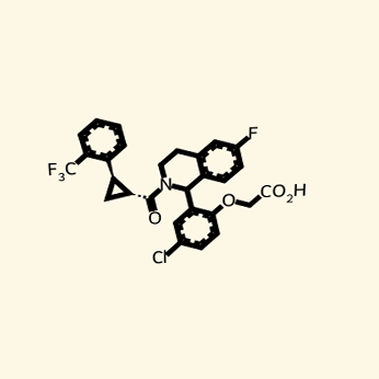 O=C(O)COc1ccc(Cl)cc1C1c2ccc(F)cc2CCN1C(=O)[C@@H]1C[C@H]1c1ccccc1C(F)(F)F